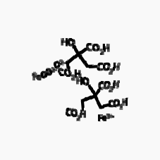 O=C(O)CC(O)(CC(=O)O)C(=O)O.O=C(O)CC(O)(CC(=O)O)C(=O)O.[Fe+3].[Fe+3].[O-2].[O-2].[O-2]